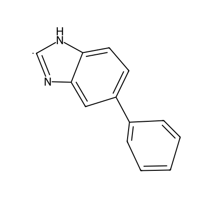 [c]1nc2cc(-c3ccccc3)ccc2[nH]1